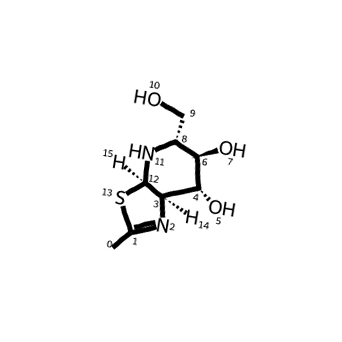 CC1=N[C@@H]2[C@@H](O)[C@H](O)[C@@H](CO)N[C@@H]2S1